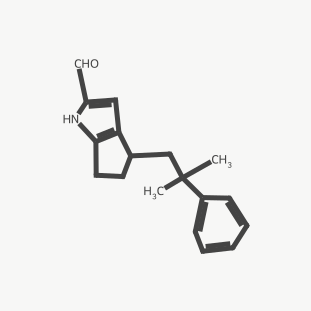 CC(C)(CC1CCc2[nH]c(C=O)cc21)c1ccccc1